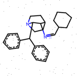 C(=N/C1C2CCN(CC2)C1C(c1ccccc1)c1ccccc1)/C1CCCCC1